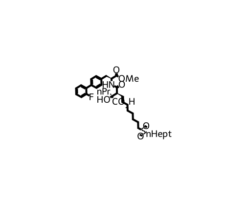 CCCCCCCS(=O)(=O)CCCCCCC=C[C@H](C(=O)N[C@@H](Cc1ccc(-c2ccccc2F)cc1)C(=O)OC)[C@@](O)(CCC)C(=O)O